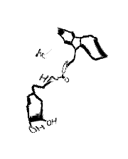 CC(C)=O.O=C(NCCc1ccc(O)c(O)c1)OCC1c2ccccc2-c2ccccc21